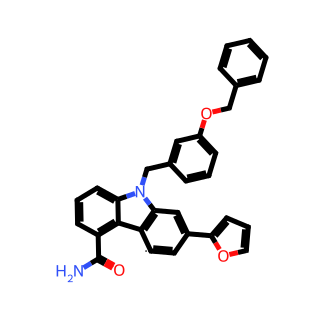 NC(=O)c1cccc2c1c1[c]cc(-c3ccco3)cc1n2Cc1cccc(OCc2ccccc2)c1